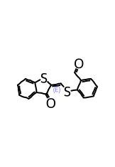 O=Cc1ccccc1S/C=C1/Sc2ccccc2C1=O